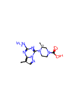 Cc1cnn2c(N3CCN(C(=O)O)C[C@@H]3C)nc(N)nc12